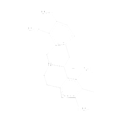 COc1cc2c(c([N+](=O)[O-])c1C)[C@@H]1Cc3ccc(OC)c(OC)c3CN1CC2